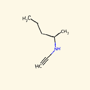 C#CNC(C)CCC